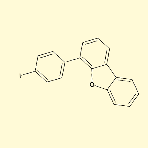 Ic1ccc(-c2cccc3c2oc2ccccc23)cc1